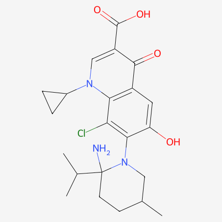 CC1CCC(N)(C(C)C)N(c2c(O)cc3c(=O)c(C(=O)O)cn(C4CC4)c3c2Cl)C1